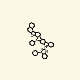 c1ccc(-c2nc(-n3c4ccccc4c4cc5c6ccc7c(oc8ccc9ccccc9c87)c6n(-c6ccccc6)c5cc43)nc3ccccc23)cc1